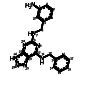 Nc1cccc(CNc2nc(NCc3ccccc3)c3nn[nH]c3n2)c1